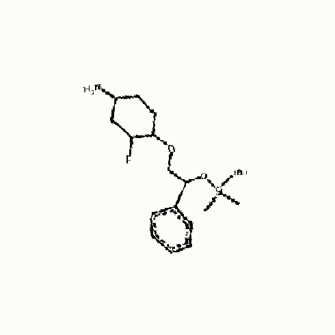 CC(C)(C)[Si](C)(C)OC(COC1CCC(N)CC1F)c1ccccc1